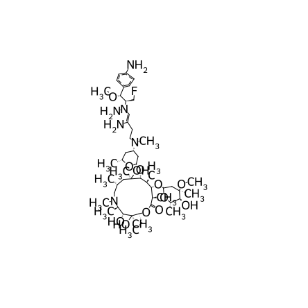 CC[C@H]1OC(=O)[C@H](C)[C@@H](O[C@H]2C[C@@](C)(OC)[C@@H](O)[C@H](C)O2)[C@H](C)[C@@H](O[C@H]2C[C@@H](N(C)CC/C(N)=C/N(N)[C@H](CF)[C@H](OC)c3ccc(N)cc3)C[C@@H](C)O2)[C@](C)(O)C[C@@H](C)CN(C)[C@H](C)[C@@H](O)[C@]1(C)O